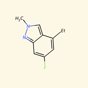 CCc1cc(F)cc2nn(C)cc12